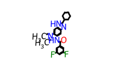 CCN(CC)c1cc2[nH]c(C3CCCCC3)nc2cc1NC(=O)c1cc(F)cc(F)c1